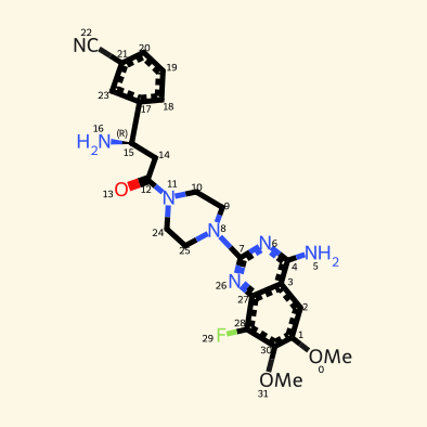 COc1cc2c(N)nc(N3CCN(C(=O)C[C@@H](N)c4cccc(C#N)c4)CC3)nc2c(F)c1OC